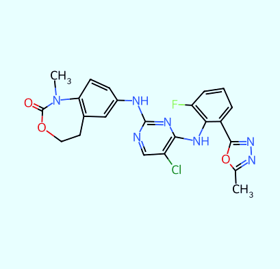 Cc1nnc(-c2cccc(F)c2Nc2nc(Nc3ccc4c(c3)CCOC(=O)N4C)ncc2Cl)o1